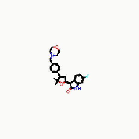 CC1(C)OC(=C2C(=O)Nc3cc(F)ccc32)C=C1c1ccc(CN2CCOCC2)cc1